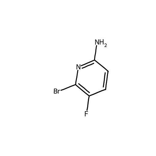 Nc1ccc(F)c(Br)n1